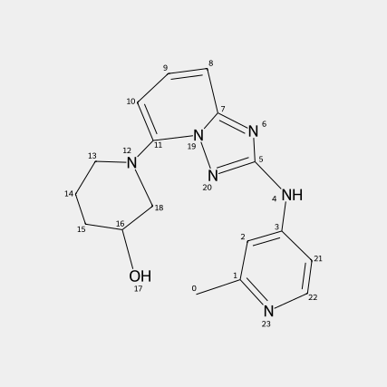 Cc1cc(Nc2nc3cccc(N4CCCC(O)C4)n3n2)ccn1